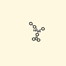 c1ccc(C/N=C(\NCc2ccc(-c3ccccc3)cc2)c2ccc(-n3c4ccccc4c4ccccc43)cc2)cc1